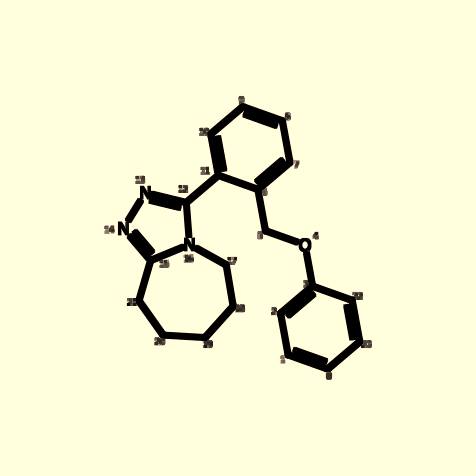 c1ccc(OCc2ccccc2-c2nnc3n2CCCCC3)cc1